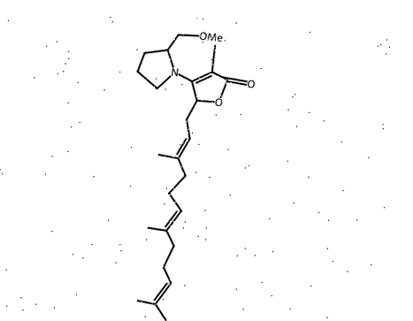 COCC1CCCN1C1=C(C)C(=O)OC1C/C=C(\C)CC/C=C(\C)CCC=C(C)C